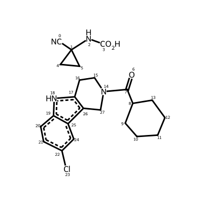 N#CC1(NC(=O)O)CC1.O=C(C1CCCCC1)N1CCc2[nH]c3ccc(Cl)cc3c2C1